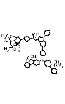 C=C(/C=c1\c(=C)n(-c2ccccc2)c2ccc(-c3ccc(N(C4=CCC5=C(C=C4)c4ccccc4C5(C)C)c4ccc5c(c4)C(C)(C)c4ccccc4-5)cc3)cc12)c1ccc(-c2ccc(C(CC(C)(C)C)C(C)(C)C)cc2)cc1